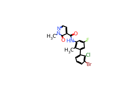 Cc1c(NC(=O)c2ccnn(C)c2=O)cc(F)cc1-c1cccc(Br)c1Cl